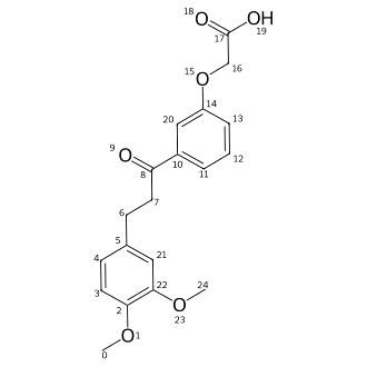 COc1ccc(CCC(=O)c2cccc(OCC(=O)O)c2)cc1OC